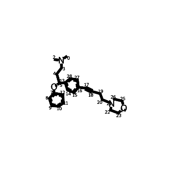 CN(C)CCC(Oc1ccccc1)c1ccc(C#CCCN2CCOCC2)cc1